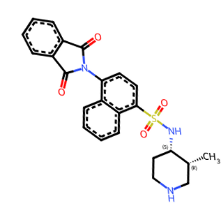 C[C@@H]1CNCC[C@@H]1NS(=O)(=O)c1ccc(N2C(=O)c3ccccc3C2=O)c2ccccc12